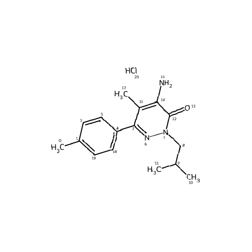 Cc1ccc(-c2nn(CC(C)C)c(=O)c(N)c2C)cc1.Cl